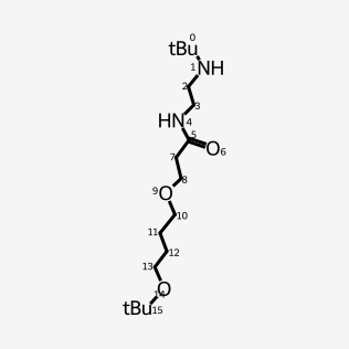 CC(C)(C)NCCNC(=O)CCOCCCCOC(C)(C)C